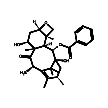 B[C@H]1C(=O)[C@@]2(C)[C@H]([C@H](OC(=O)c3ccccc3)[C@]3(O)C[C@H](C)C(C)=C1C3(C)C)[C@]1(C)CO[C@@H]1C[C@@H]2O